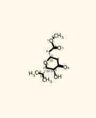 COC(=O)C[C@@H]1CC(=O)[C@@H](O)[C@H](C(C)C)O1